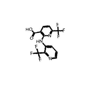 O=C(O)c1ccc(C(F)(F)F)nc1Nc1cccnc1C(F)(F)F